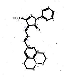 O=C(O)C1=NN(c2ccccc2)C(=O)/C1=C\C=C\c1cc2c3c(c1)CCCN3CCC2